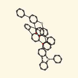 c1ccc(-c2ccc3c(c2)C2(c4cc(-c5ccccc5)ccc4O3)c3ccccc3-c3ccc(N(c4ccc5c6ccccc6n(-c6ccccc6)c5c4)c4ccccc4-c4ccccc4)cc32)cc1